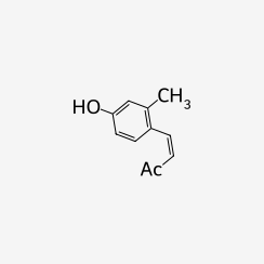 CC(=O)/C=C\c1ccc(O)cc1C